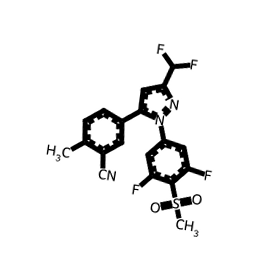 Cc1ccc(-c2cc(C(F)F)nn2-c2cc(F)c(S(C)(=O)=O)c(F)c2)cc1C#N